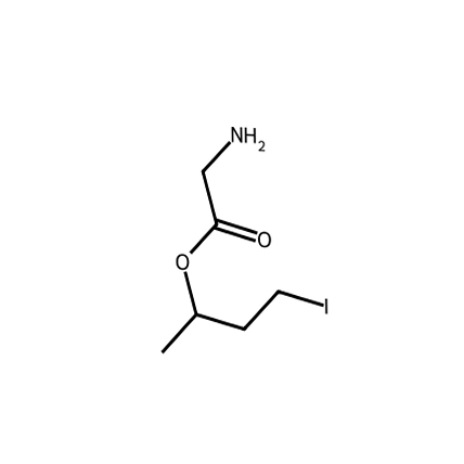 CC(CCI)OC(=O)CN